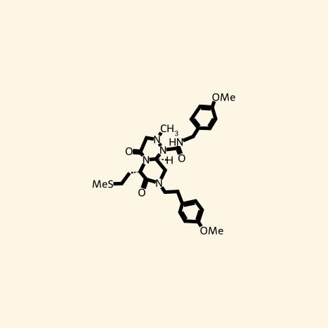 COc1ccc(CCN2C[C@H]3N(C(=O)CN(C)N3C(=O)NCc3ccc(OC)cc3)[C@@H](CCSC)C2=O)cc1